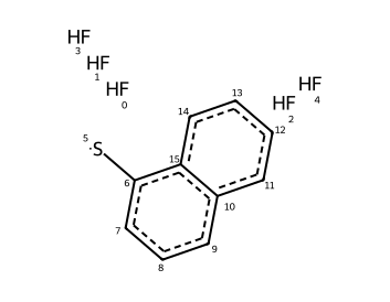 F.F.F.F.F.[S]c1cccc2ccccc12